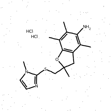 Cc1c(C)c2c(c(C)c1N)CC(C)(CSc1nccn1C)O2.Cl.Cl